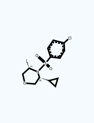 O=S(=O)(c1ccc(Cl)cc1)N1[C@@H](I)COC[C@H]1C1CC1